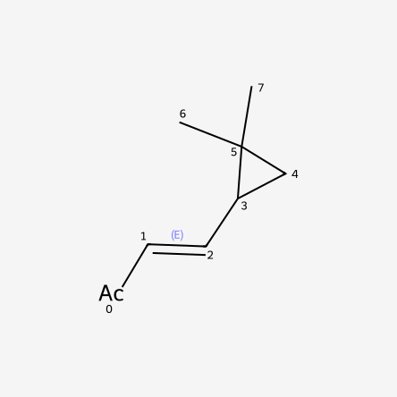 CC(=O)/C=C/C1CC1(C)C